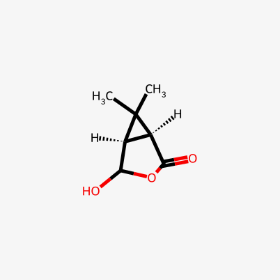 CC1(C)[C@@H]2C(O)OC(=O)[C@@H]21